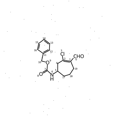 O=CC1=C(Cl)CC(NC(=O)OCc2ccccc2)CCC1